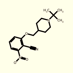 CC(C)(C)N1CCC(COc2cccc([N+](=O)[O-])c2C#N)CC1